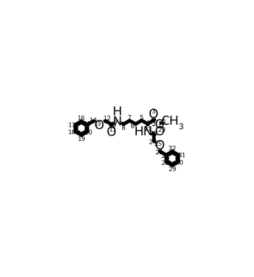 COC(=O)C(CCCCNC(=O)COCc1ccccc1)NC(=O)COCc1ccccc1